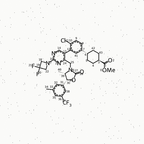 COC(=O)[C@H]1CC[C@H](c2ccc(Cl)c(-c3cnc(N4CC(F)(F)C4)nc3CN3C(=O)O[C@H](c4cc(C)cc(C(F)(F)F)c4)[C@@H]3C)c2)CC1